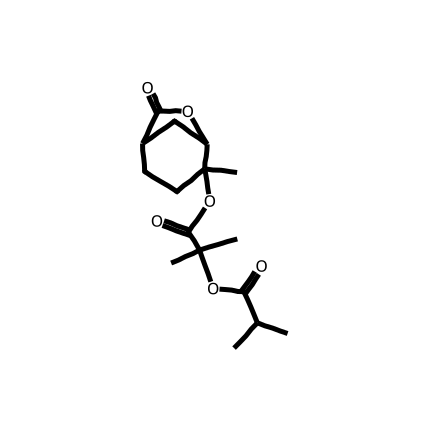 CC(C)C(=O)OC(C)(C)C(=O)OC1(C)CCC2CC1OC2=O